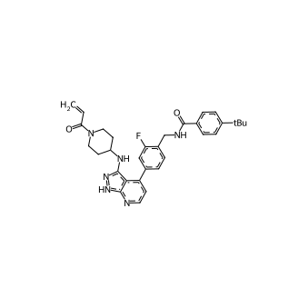 C=CC(=O)N1CCC(Nc2n[nH]c3nccc(-c4ccc(CNC(=O)c5ccc(C(C)(C)C)cc5)c(F)c4)c23)CC1